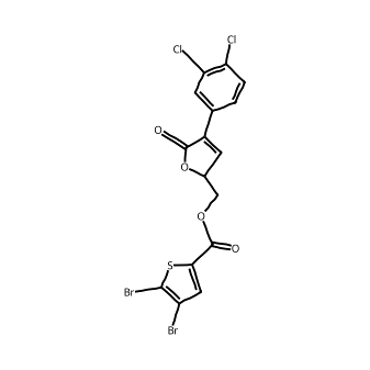 O=C1OC(COC(=O)c2cc(Br)c(Br)s2)C=C1c1ccc(Cl)c(Cl)c1